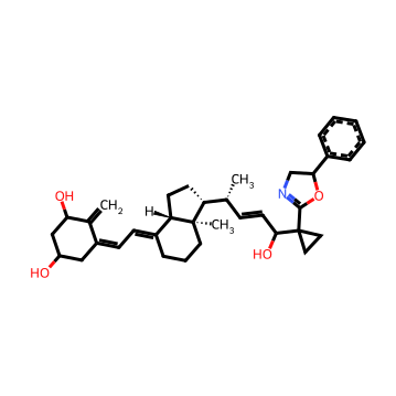 C=C1/C(=C\C=C2/CCC[C@]3(C)[C@@H]([C@H](C)/C=C/C(O)C4(C5=NCC(c6ccccc6)O5)CC4)CC[C@@H]23)CC(O)CC1O